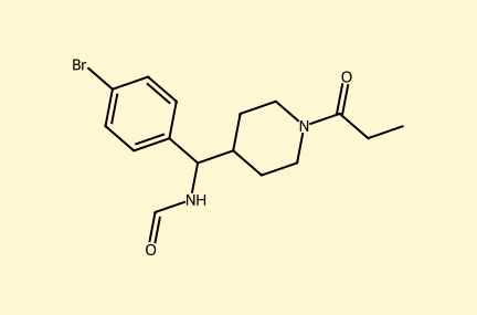 CCC(=O)N1CCC(C(NC=O)c2ccc(Br)cc2)CC1